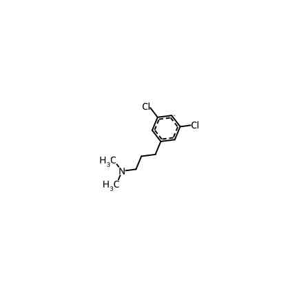 CN(C)CCCc1cc(Cl)[c]c(Cl)c1